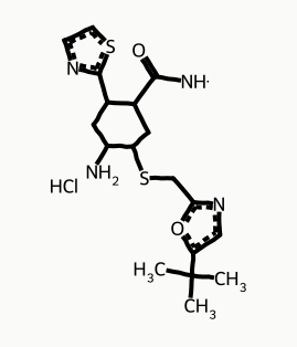 CC(C)(C)c1cnc(CSC2CC(C([NH])=O)C(c3nccs3)CC2N)o1.Cl